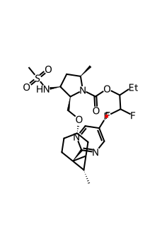 CCC(OC(=O)N1[C@H](C)C[C@H](NS(C)(=O)=O)[C@@H]1CO[C@H]1CC[C@]2(c3ncc(F)cn3)C(C1)[C@@H]2C)C(F)F